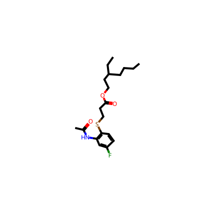 CCCCC(CC)CCOC(=O)CCSc1ccc(F)cc1NC(C)=O